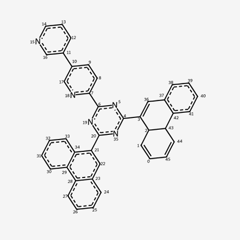 C1=CC2C(c3nc(-c4ccc(-c5cccnc5)cn4)nc(-c4cc5ccccc5c5ccccc45)n3)=Cc3ccccc3C2C=C1